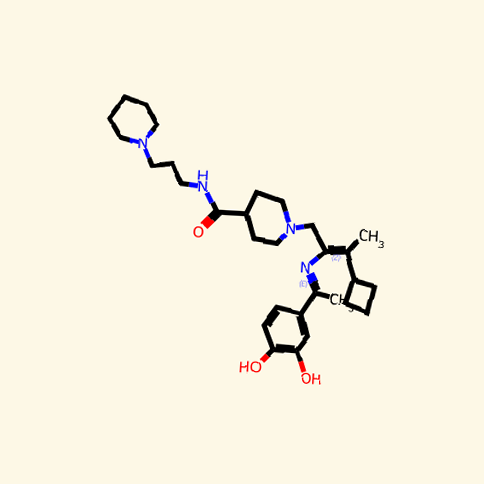 C/C(=C(CN1CCC(C(=O)NCCCN2CCCCC2)CC1)/N=C(\C)c1ccc(O)c(O)c1)C1CCC1